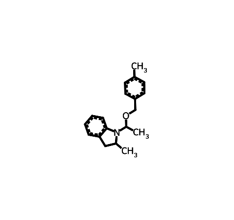 Cc1ccc(COC(C)N2c3ccccc3CC2C)cc1